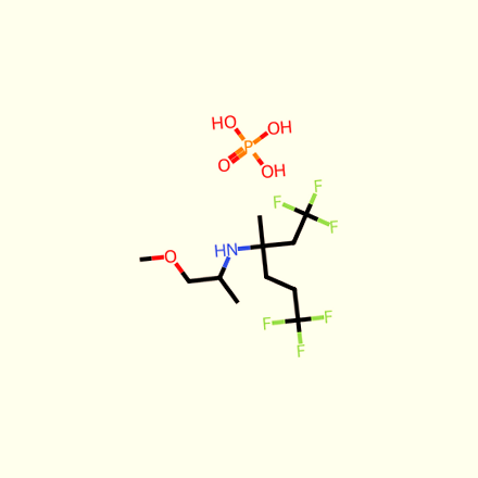 COCC(C)NC(C)(CCC(F)(F)F)CC(F)(F)F.O=P(O)(O)O